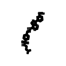 COc1cccc(-n2ncc3c(NN=Cc4ccc(S(=O)(=O)NCCN(C)C)cc4)ncnc32)n1